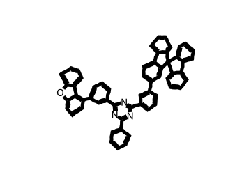 c1ccc(-c2nc(-c3cccc(-c4ccc5c(c4)C4(c6ccccc6-c6ccccc64)c4ccccc4-5)c3)nc(-c3cccc(-c4cccc5oc6ccccc6c45)c3)n2)cc1